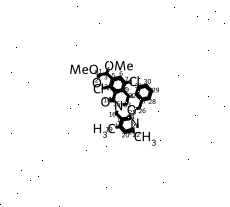 COC(=O)C(OC)c1cc(Cl)c2c(c1Cl)C(=O)N(Cc1c(C)cc(C)nc1OCc1ccccc1)CC2